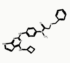 CN(C(=O)COCc1ccccc1)c1ccc(Nc2nc(NC3CCC3)c3cc[nH]c3n2)cc1